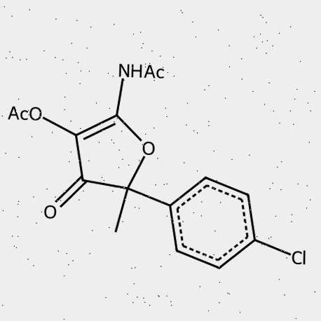 CC(=O)NC1=C(OC(C)=O)C(=O)C(C)(c2ccc(Cl)cc2)O1